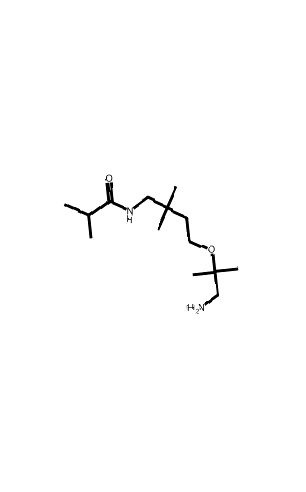 CC(C)C(=O)NCC(C)(C)CCOC(C)(C)CN